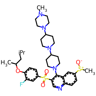 CC(C)CC(C)Oc1ccc(S(=O)(=O)c2cnc3ccc([S+](C)[O-])cc3c2N2CCC(N3CCC(N4CCN(C)CC4)CC3)CC2)cc1F